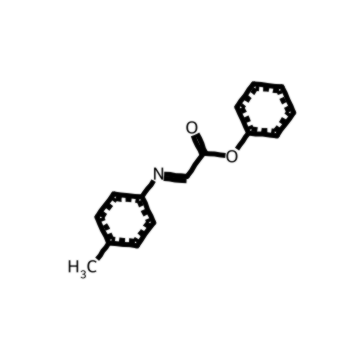 Cc1ccc(N=CC(=O)Oc2ccccc2)cc1